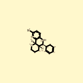 Brc1ccc2c(n1)[C@H]1OCCC[C@H]1[C@H](C1C=CC=CC1)N2